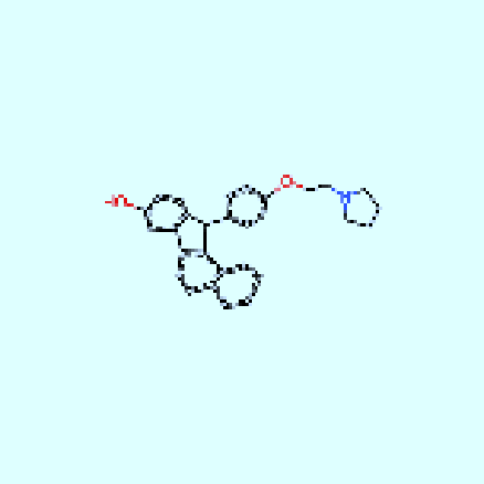 Oc1ccc2c(c1)-c1ccc3ccccc3c1C2c1ccc(OCCN2CCCC2)cc1